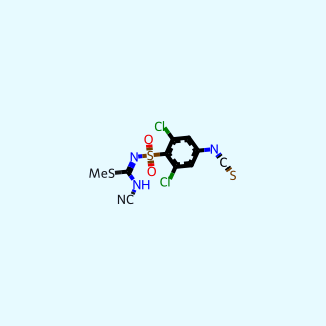 CSC(=NS(=O)(=O)c1c(Cl)cc(N=C=S)cc1Cl)NC#N